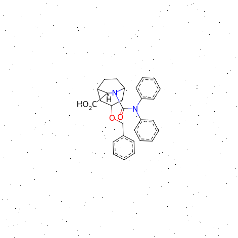 O=C(O)[C@@H]1C2CCC(CC(OCc3ccccc3)C2)N1C(=O)N(c1ccccc1)c1ccccc1